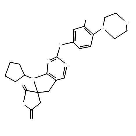 O=C1CC2(Cc3cnc(Nc4ccc(N5CCNCC5)c(F)c4)nc3N2C2CCCC2)C(=O)N1